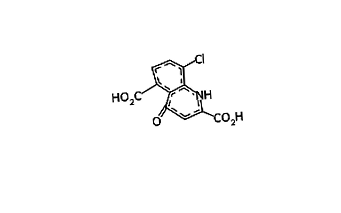 O=C(O)c1cc(=O)c2c(C(=O)O)ccc(Cl)c2[nH]1